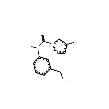 COCc1cccc(N(O)C(=N)n2cc(N)cn2)c1